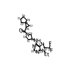 CCn1c(C(F)F)nc2c(NC3CCN(C(=O)C4CC45CCCC5)C3)ncnc21